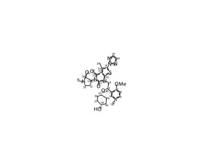 COc1ccc(F)cc1[C@H](Cn1c(=O)n([C@H]2CCN(C)C2=O)c(=O)c2c(C)c(-n3nccn3)sc21)O[C@H]1CC[C@@H](O)CC1